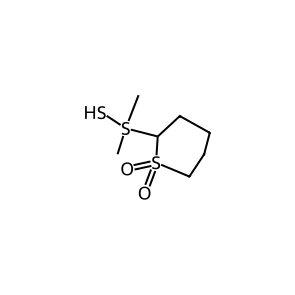 CS(C)(S)C1CCCCS1(=O)=O